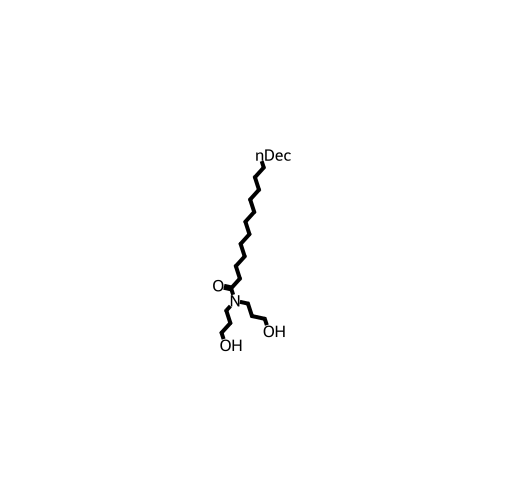 CCCCCCCCCCCCCCCCCCCCCC(=O)N(CCCO)CCCO